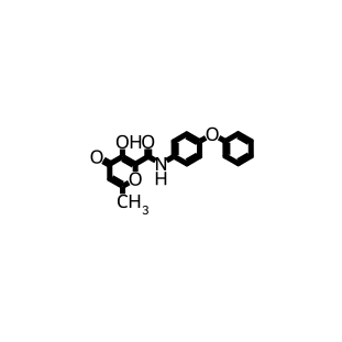 Cc1cc(=O)c(O)c(C(=O)Nc2ccc(Oc3ccccc3)cc2)o1